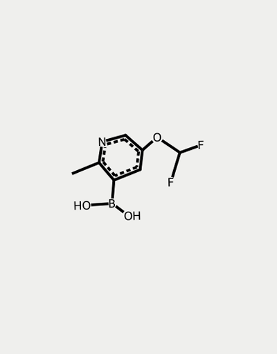 Cc1ncc(OC(F)F)cc1B(O)O